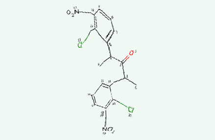 CC(C(=O)C(C)c1cccc([N+](=O)[O-])c1Cl)c1cccc([N+](=O)[O-])c1Cl